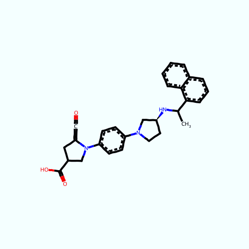 CC(N[C@H]1CCN(c2ccc(N3CC(C(=O)O)CC3=C=O)cc2)C1)c1cccc2ccccc12